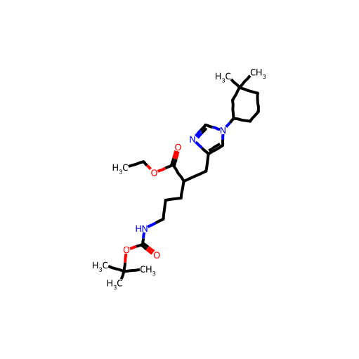 CCOC(=O)C(CCCNC(=O)OC(C)(C)C)Cc1cn(C2CCCC(C)(C)C2)cn1